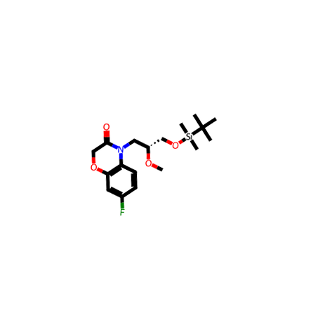 CO[C@@H](CO[Si](C)(C)C(C)(C)C)CN1C(=O)COc2cc(F)ccc21